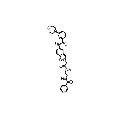 O=C(Cn1cc2cc(NC(=O)c3cccc(N4CCOCC4)n3)ccc2n1)NCCNC(=O)c1ccccc1